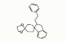 c1ccc(CCC2Cc3ccccc3C23CCC2(CC3)OCCO2)cc1